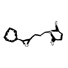 O=C1C=CC(=O)N1CCCC1OC1c1ccccc1